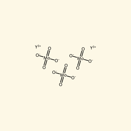 [O]=[Mo](=[O])([O-])[O-].[O]=[Mo](=[O])([O-])[O-].[O]=[Mo](=[O])([O-])[O-].[Y+3].[Y+3]